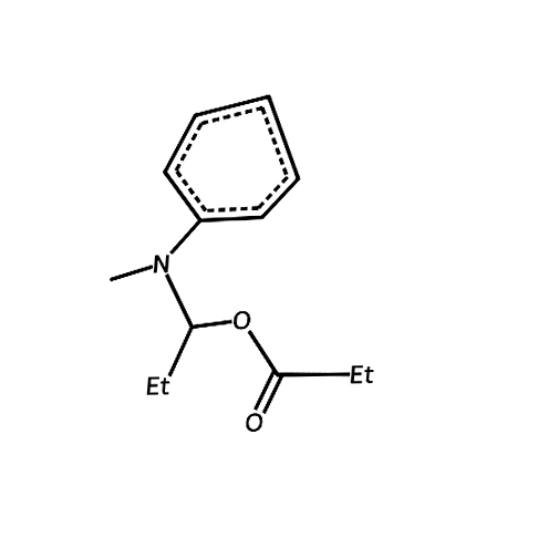 CCC(=O)OC(CC)N(C)c1ccccc1